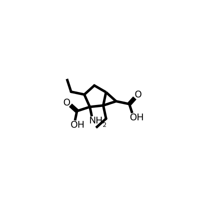 CCC1CC2C(C(=O)O)C2(CC)C1(N)C(=O)O